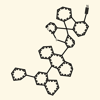 N#Cc1cccc2c1-c1ccccc1C21c2ccccc2Sc2c(-c3c4ccccc4c(-c4cc(-c5ccccc5)cc5ccccc45)c4ccccc34)cccc21